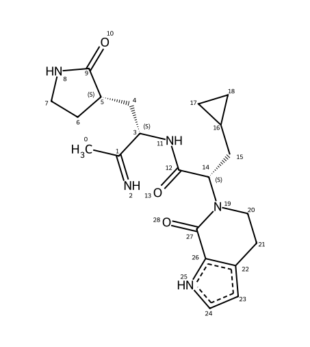 CC(=N)[C@H](C[C@@H]1CCNC1=O)NC(=O)[C@H](CC1CC1)N1CCc2cc[nH]c2C1=O